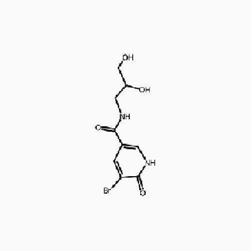 O=C(NCC(O)CO)c1c[nH]c(=O)c(Br)c1